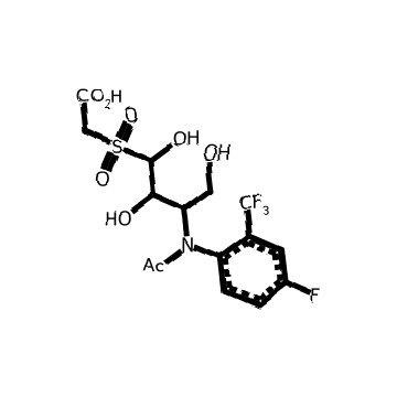 CC(=O)N(c1ccc(F)cc1C(F)(F)F)C(CO)C(O)C(O)S(=O)(=O)CC(=O)O